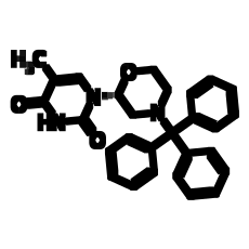 Cc1cn([C@H]2CN(C(c3ccccc3)(c3ccccc3)c3ccccc3)CCO2)c(=O)[nH]c1=O